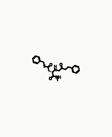 CNC(=O)[C@H](CC(=O)SCc1ccccc1)NCC(=O)CCc1ccccc1